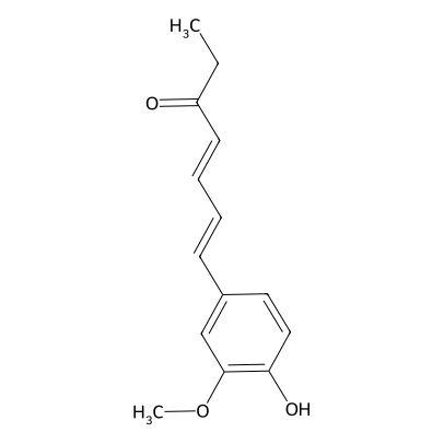 CCC(=O)C=CC=Cc1ccc(O)c(OC)c1